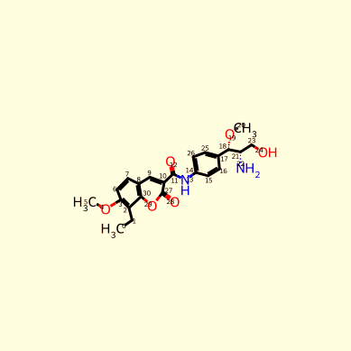 CCc1c(OC)ccc2cc(C(=O)Nc3ccc([C@H](OC)[C@@H](N)CO)cc3)c(=O)oc12